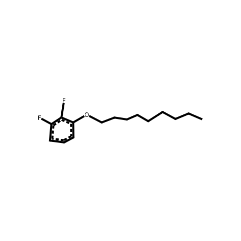 CCCCCCCCCOc1cccc(F)c1F